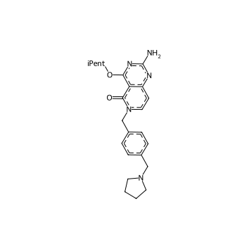 CCCC(C)Oc1nc(N)nc2ccn(Cc3ccc(CN4CCCC4)cc3)c(=O)c12